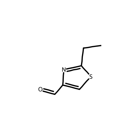 CCc1nc(C=O)cs1